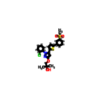 CC(C)(O)COc1cc(-c2ccc(-c3cccc(S(C)(=O)=O)c3)s2)n(-c2ccccc2Cl)n1